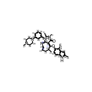 CCN(C)C(=O)C1=C(\Oc2ccc3[nH]c(C)cc3c2F)C(C)C/C=C/N=C\1Nc1cccc(N2CCN(C)CC2)c1